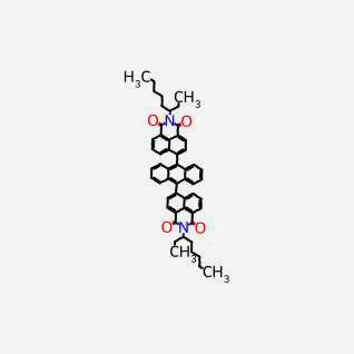 CCCCCC(CC)N1C(=O)c2cccc3c(-c4c5ccccc5c(-c5ccc6c7c(cccc57)C(=O)N(C(CC)CCCCC)C6=O)c5ccccc45)ccc(c23)C1=O